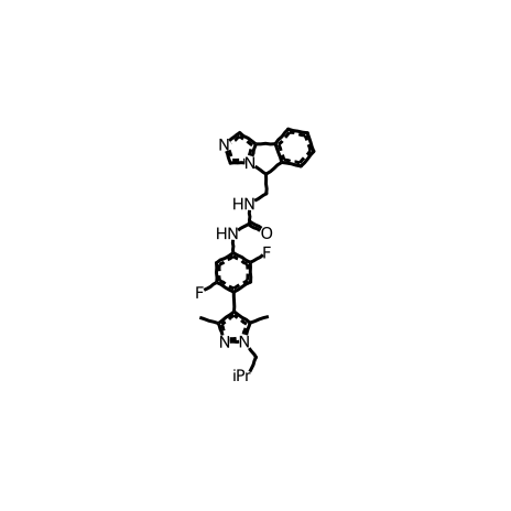 Cc1nn(CC(C)C)c(C)c1-c1cc(F)c(NC(=O)NCC2c3ccccc3-c3cncn32)cc1F